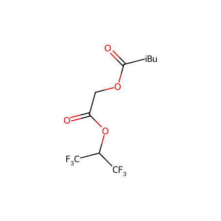 CCC(C)C(=O)OCC(=O)OC(C(F)(F)F)C(F)(F)F